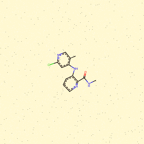 CNC(=O)c1ncccc1Nc1cc(Cl)ncc1C